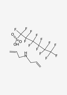 C=CCNCC=C.O=S(=O)(O)C(F)(F)C(F)(F)C(F)(F)C(F)(F)C(F)(F)C(F)(F)F